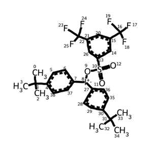 CC(C)(C)c1ccc([I+](OS(=O)(=O)c2cc(C(F)(F)F)cc(C(F)(F)F)c2)c2ccc(C(C)(C)C)cc2)cc1